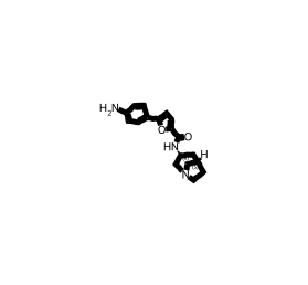 Nc1ccc(-c2ccc(C(=O)N[C@@H]3C[C@@H]4CCN(C4)C3)o2)cc1